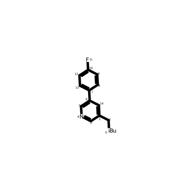 CCC(C)Cc1cncc(-c2ccc(F)cc2)c1